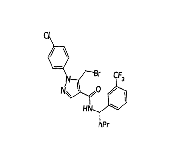 CCC[C@H](NC(=O)c1cnn(-c2ccc(Cl)cc2)c1CBr)c1cccc(C(F)(F)F)c1